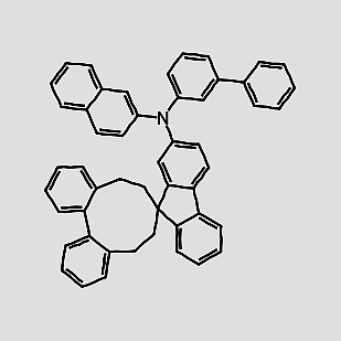 c1ccc(-c2cccc(N(c3ccc4c(c3)C3(CCc5ccccc5-c5ccccc5CC3)c3ccccc3-4)c3ccc4ccccc4c3)c2)cc1